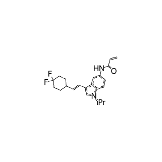 C=CC(=O)Nc1ccc2c(c1)c(/C=C/C1CCC(F)(F)CC1)cn2C(C)C